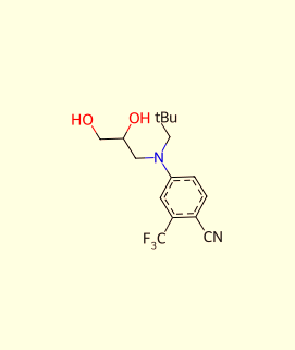 CC(C)(C)CN(CC(O)CO)c1ccc(C#N)c(C(F)(F)F)c1